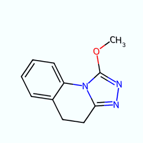 COc1nnc2n1-c1ccccc1CC2